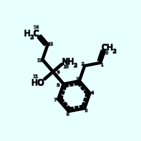 C=CCc1ccccc1C(N)(O)CC=C